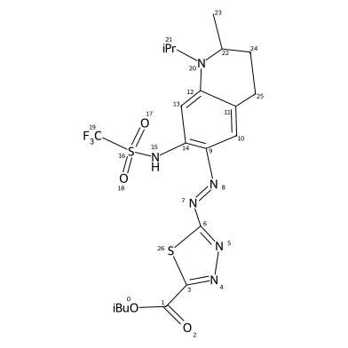 CC(C)COC(=O)c1nnc(N=Nc2cc3c(cc2NS(=O)(=O)C(F)(F)F)N(C(C)C)C(C)CC3)s1